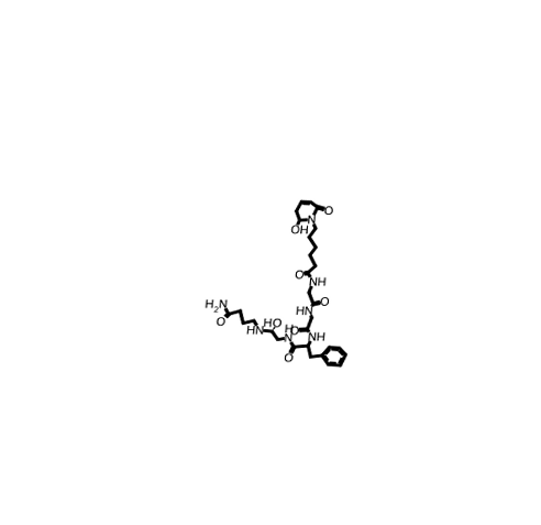 NC(=O)CCCN[C@H](O)CNC(=O)C(Cc1ccccc1)NC(=O)CNC(=O)CNC(=O)CCCCCN1C(=O)C=CCC1O